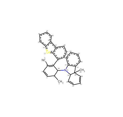 CC1C=CC(C#N)=C(c2cccc3c2sc2ccccc23)C1N1c2ccccc2C2(C)C=CC=CC12